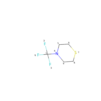 FC(F)(F)N1CCSCC1